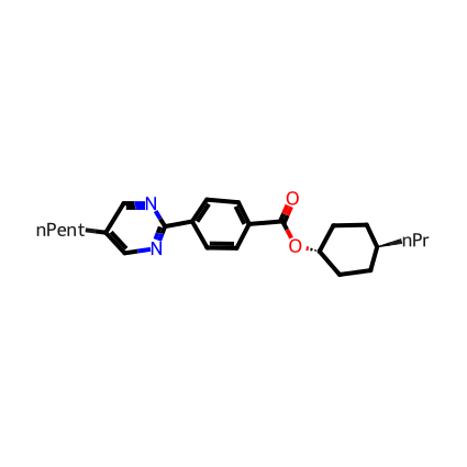 CCCCCc1cnc(-c2ccc(C(=O)O[C@H]3CC[C@H](CCC)CC3)cc2)nc1